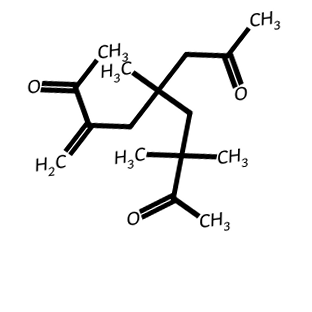 C=C(CC(C)(CC(C)=O)CC(C)(C)C(C)=O)C(C)=O